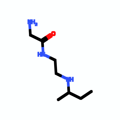 CCC(C)NCCNC(=O)CN